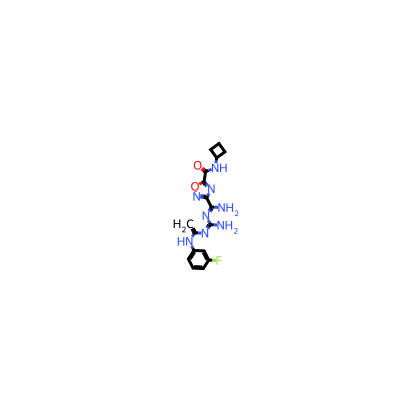 C=C(/N=C(N)\N=C(/N)c1noc(C(=O)NC2CCC2)n1)Nc1cccc(F)c1